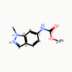 CCCOC(=O)Nc1ccc2cnn(C)c2c1